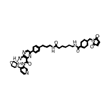 Nc1ncc(-c2ccc(CCCNC(=O)CCCCCNC(=O)C3CCC(CN4C(=O)C=CC4=O)CC3)cc2)nc1C(=O)Nc1cnccc1N1CCOCC1